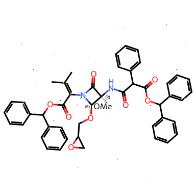 CO[C@@]1(NC(=O)C(C(=O)OC(c2ccccc2)c2ccccc2)c2ccccc2)C(=O)N(C(C(=O)OC(c2ccccc2)c2ccccc2)=C(C)C)[C@@H]1OCC1CO1